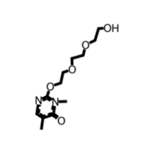 Cc1cnc(OCCOCCOCCO)n(C)c1=O